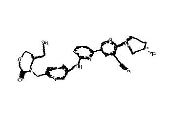 N#Cc1cc(-c2ccnc(Nc3ccc(CN4C(=O)OCC4CO)nc3)n2)cnc1N1CC[C@H](F)C1